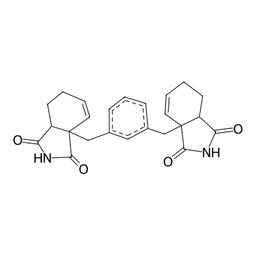 O=C1NC(=O)C2(Cc3cccc(CC45C=CCCC4C(=O)NC5=O)c3)C=CCCC12